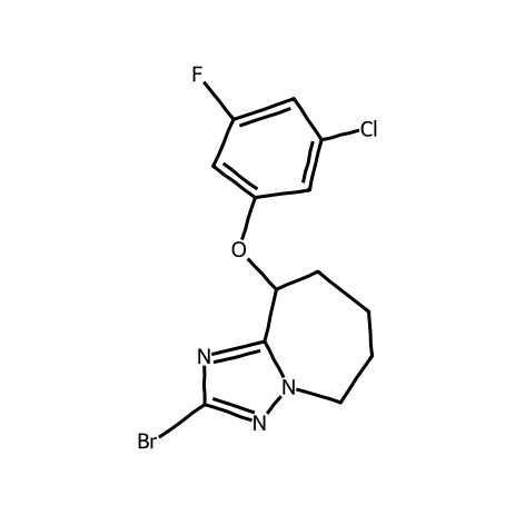 Fc1cc(Cl)cc(OC2CCCCn3nc(Br)nc32)c1